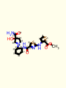 COC(=O)c1sccc1Nc1nc(C(=O)Nc2ccccc2N2CCC(O)(C(N)=O)C2)cs1